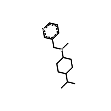 CC(C)C1CCC(N(C)Cc2cccnc2)CC1